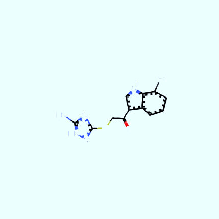 CCc1cccc2c(C(=O)CSc3n[nH]c(N)n3)c[nH]c12